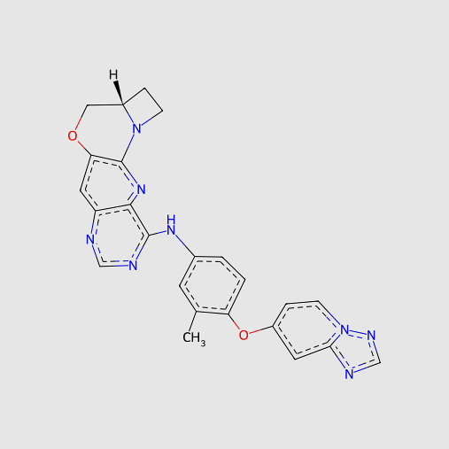 Cc1cc(Nc2ncnc3cc4c(nc23)N2CC[C@H]2CO4)ccc1Oc1ccn2ncnc2c1